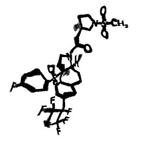 CS(=O)(=O)N1CC[C@H](CC(=O)N2CC[C@@]3(S(=O)(=O)c4ccc(F)cc4)c4ccc(C(F)(C(F)(F)F)C(F)(F)F)cc4CC[C@@H]23)C1